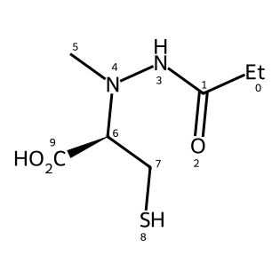 CCC(=O)NN(C)[C@@H](CS)C(=O)O